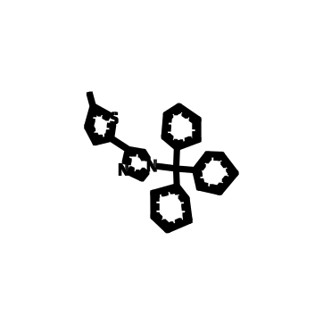 Cc1ccc(-c2cn(C(c3ccccc3)(c3ccccc3)c3ccccc3)cn2)s1